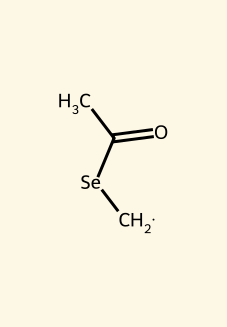 [CH2][Se]C(C)=O